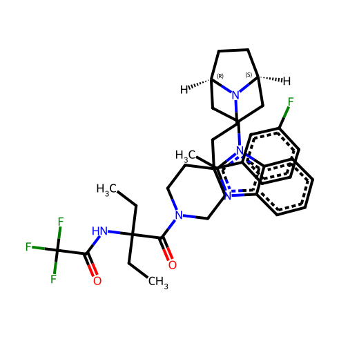 CCC(CC)(NC(=O)C(F)(F)F)C(=O)N1CCC(CCN2[C@@H]3CC[C@H]2CC(n2c(C)nc4ccccc42)C3)(c2cccc(F)c2)CC1